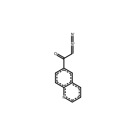 [N-]=[N+]=CC(=O)c1ccc2ncccc2c1